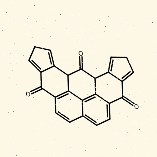 O=C1C2=CCC=C2C2C(=O)C3C4=CCC=C4C(=O)c4ccc5ccc1c2c5c43